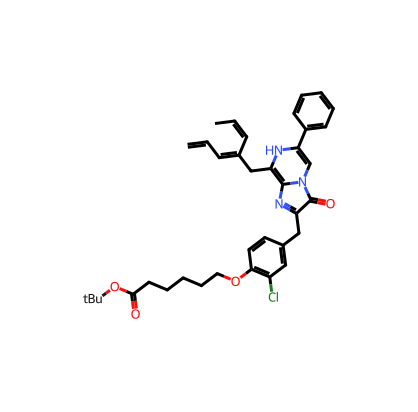 C=C/C=C(\C=C/C)Cc1[nH]c(-c2ccccc2)cn2c(=O)c(Cc3ccc(OCCCCCC(=O)OC(C)(C)C)c(Cl)c3)nc1-2